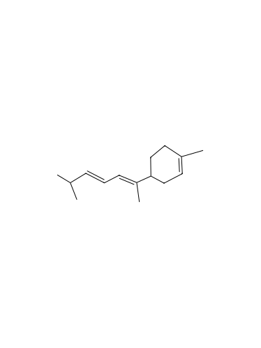 CC1=CCC(/C(C)=C/C=C/C(C)C)CC1